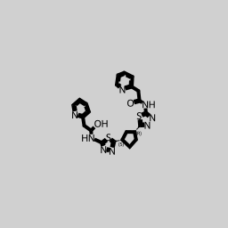 O=C(Cc1ccccn1)Nc1nnc([C@@H]2CC[C@H](c3nnc(NC(O)Cc4ccccn4)s3)C2)s1